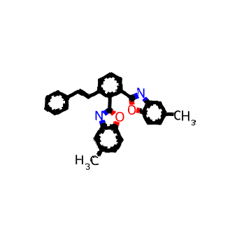 Cc1ccc2oc(-c3cccc(C=Cc4ccccc4)c3-c3nc4cc(C)ccc4o3)nc2c1